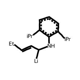 [Li][CH](C=CCC)Nc1c(C(C)C)cccc1C(C)C